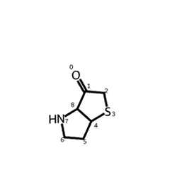 O=C1CSC2CCNC12